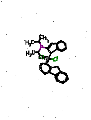 CC(C)P(C1=Cc2ccccc2[CH]1[Ti]([Cl])([Cl])[c]1cccc2c1Cc1ccccc1-2)C(C)C